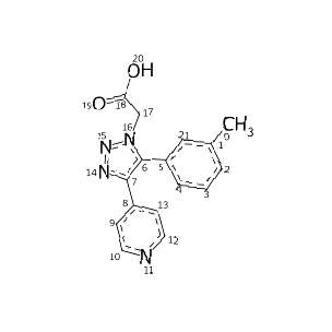 Cc1cccc(-c2c(-c3ccncc3)nnn2CC(=O)O)c1